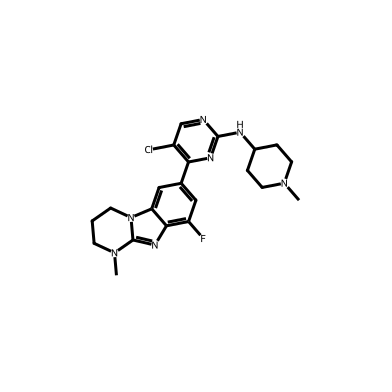 CN1CCC(Nc2ncc(Cl)c(-c3cc(F)c4nc5n(c4c3)CCCN5C)n2)CC1